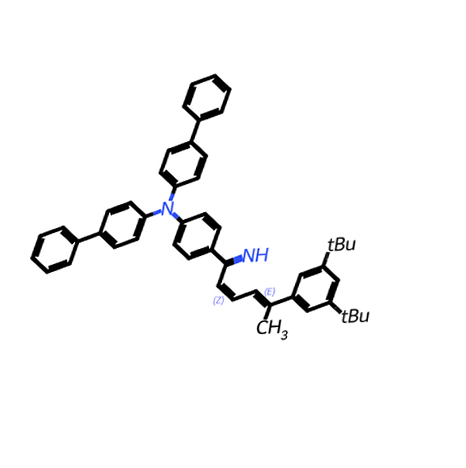 C/C(=C\C=C/C(=N)c1ccc(N(c2ccc(-c3ccccc3)cc2)c2ccc(-c3ccccc3)cc2)cc1)c1cc(C(C)(C)C)cc(C(C)(C)C)c1